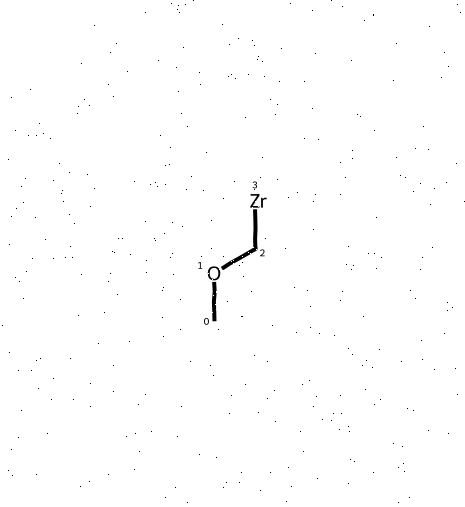 CO[CH2][Zr]